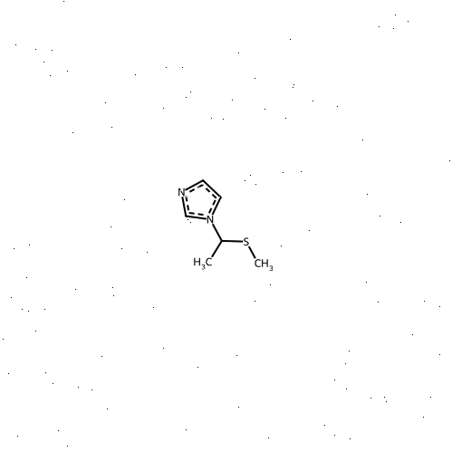 CSC(C)n1ccnc1